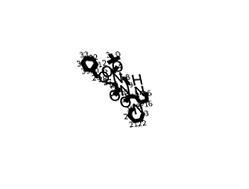 CC(C)(C)OC(=O)N1CCN(C(=O)C2NCCC2N2CCCCC2)C(=O)[C@H]1COCc1ccccc1